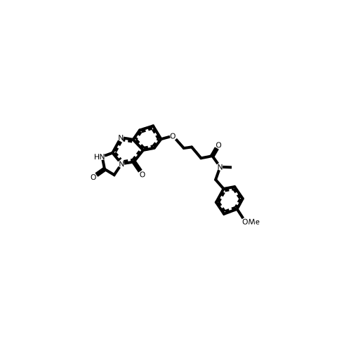 COc1ccc(CN(C)C(=O)CCCOc2ccc3nc4n(c(=O)c3c2)CC(=O)N4)cc1